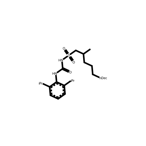 CCCCCCCCCCCCCC(C)CS(=O)(=O)NC(=O)Nc1c(C(C)C)cccc1C(C)C